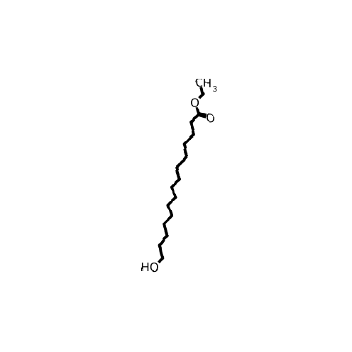 CCOC(=O)CCCCCCCCCCCCCCO